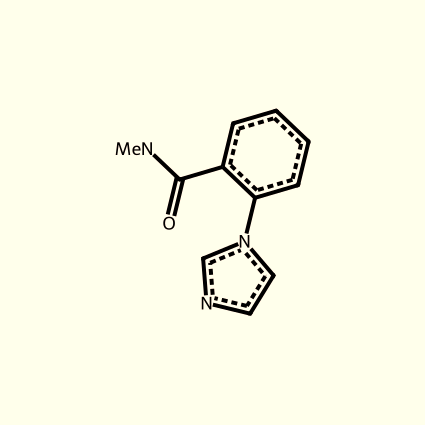 CNC(=O)c1ccccc1-n1ccnc1